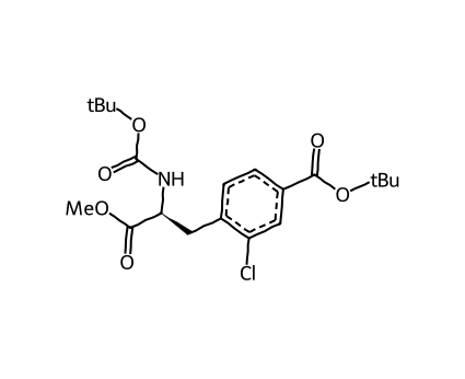 COC(=O)[C@H](Cc1ccc(C(=O)OC(C)(C)C)cc1Cl)NC(=O)OC(C)(C)C